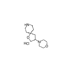 C1CC2(CCN1)CC(N1CCOCC1)CO2.Cl